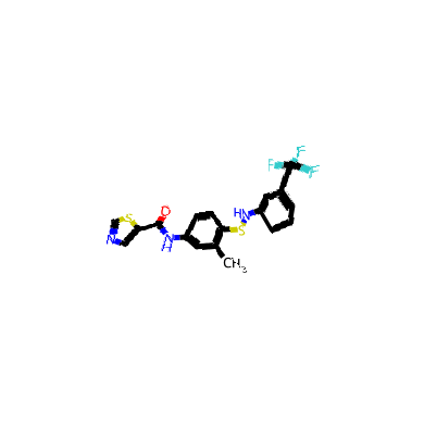 Cc1cc(NC(=O)c2cncs2)ccc1SNc1cccc(C(F)(F)F)c1